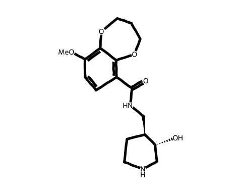 COc1ccc(C(=O)NC[C@@H]2CCNC[C@H]2O)c2c1OCCCO2